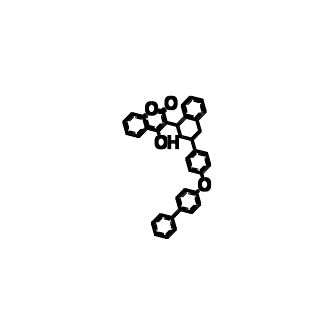 O=c1oc2ccccc2c(O)c1C1CC(c2ccc(Oc3ccc(-c4ccccc4)cc3)cc2)Cc2ccccc21